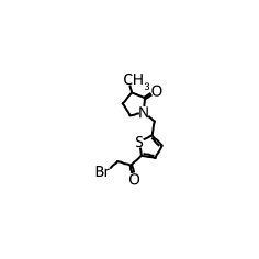 CC1CCN(Cc2ccc(C(=O)CBr)s2)C1=O